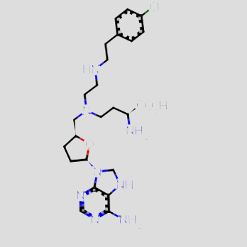 Nc1ncnc2c1NCN2[C@H]1CC[C@@H](CN(CCNCCc2ccc(Cl)cc2)CC[C@H](N)C(=O)O)O1